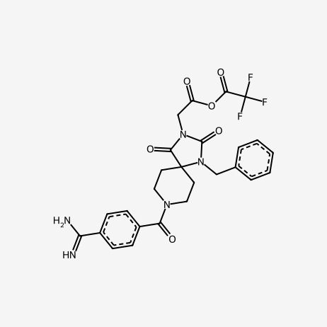 N=C(N)c1ccc(C(=O)N2CCC3(CC2)C(=O)N(CC(=O)OC(=O)C(F)(F)F)C(=O)N3Cc2ccccc2)cc1